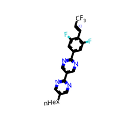 CCCCCCc1cnc(-c2cnc(-c3cc(F)c(/C=C/C(F)(F)F)c(F)c3)nc2)nc1